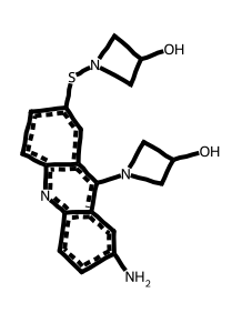 Nc1ccc2nc3ccc(SN4CC(O)C4)cc3c(N3CC(O)C3)c2c1